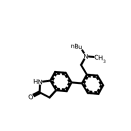 CCCCN(C)Cc1ccccc1-c1ccc2c(c1)CC(=O)N2